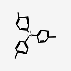 Cc1cc[c]([GeH]([c]2ccc(C)cc2)[c]2ccc(C)cc2)cc1